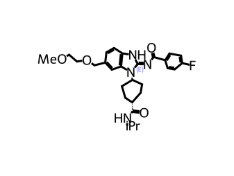 COCCOCc1ccc2[nH]/c(=N\C(=O)c3ccc(F)cc3)n([C@H]3CC[C@@H](C(=O)NC(C)C)CC3)c2c1